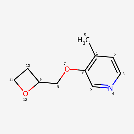 Cc1ccncc1OCC1CCO1